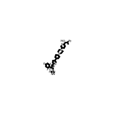 CC(C)C(C)C(O)c1ccc(N2CCN(c3ccc(-c4ccc(C(F)(F)[C@](O)(Cn5cnnn5)c5ccc(F)cc5F)nc4)cc3)CC2)cn1